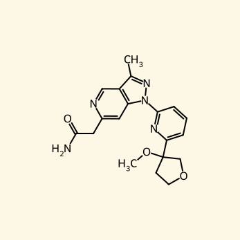 COC1(c2cccc(-n3nc(C)c4cnc(CC(N)=O)cc43)n2)CCOC1